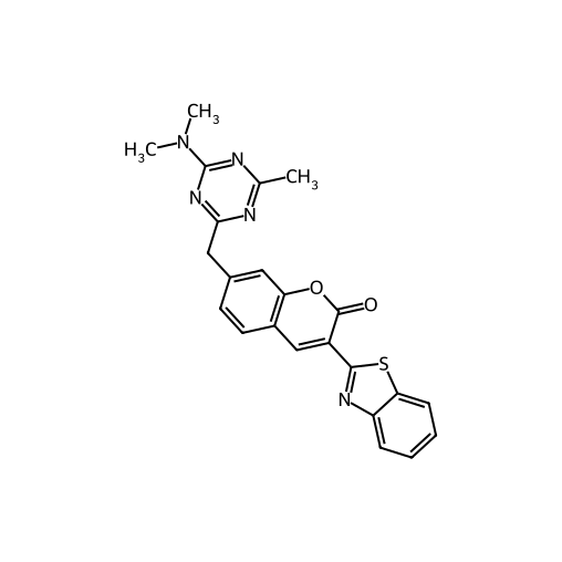 Cc1nc(Cc2ccc3cc(-c4nc5ccccc5s4)c(=O)oc3c2)nc(N(C)C)n1